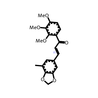 COc1ccc(C(=O)/C=C/c2cc(C)c3c(c2)OCO3)c(OC)c1OC